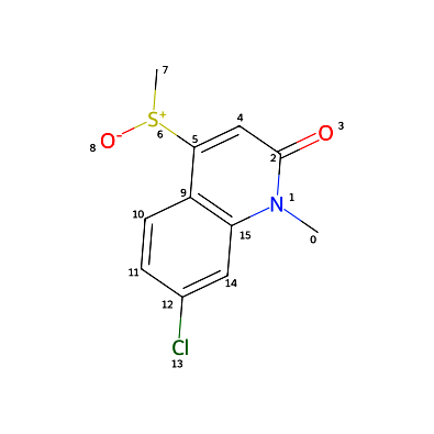 Cn1c(=O)cc([S+](C)[O-])c2ccc(Cl)cc21